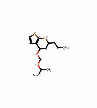 COCCC1CC(OCOC(C)OC)c2ccsc2S1